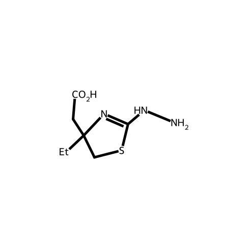 CCC1(CC(=O)O)CSC(NN)=N1